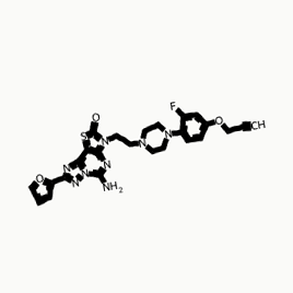 C#CCOc1ccc(N2CCN(CCn3c(=O)sc4c3nc(N)n3nc(-c5ccco5)nc43)CC2)c(F)c1